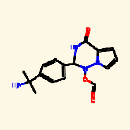 CC(C)(N)c1ccc(C2NC(=O)c3cccn3N2OC=O)cc1